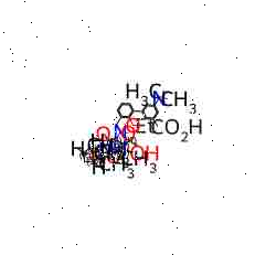 CCOc1c(CN2O[C@@H](CO)[C@@H]([C@H](C)O)[C@H]2C(=O)N[C@H]2C[C@H]3C[C@@H]([C@@H]2C)C3(C)C)cccc1-c1cc(C(=O)O)cc(N(C)C)c1